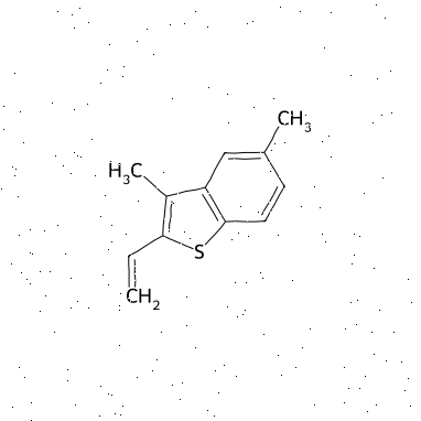 C=Cc1sc2ccc(C)cc2c1C